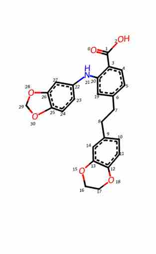 O=C(O)c1ccc(CCc2ccc3c(c2)OCCO3)cc1Nc1ccc2c(c1)OCO2